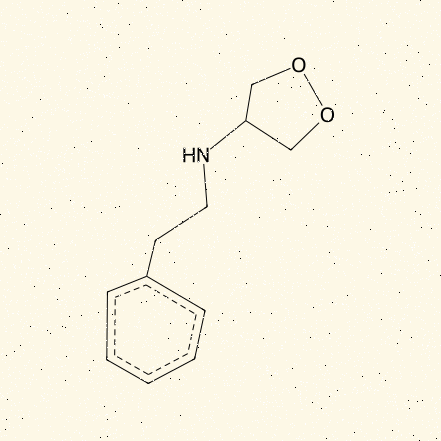 c1ccc(CCNC2COOC2)cc1